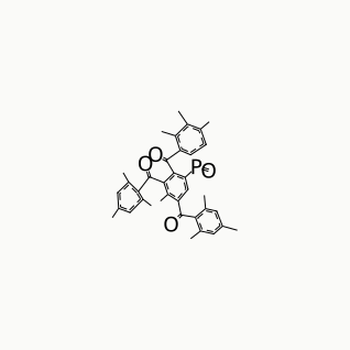 Cc1cc(C)c(C(=O)c2cc(P=O)c(C(=O)c3ccc(C)c(C)c3C)c(C(=O)c3c(C)cc(C)cc3C)c2C)c(C)c1